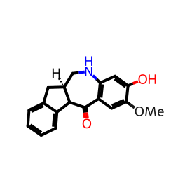 COc1cc2c(cc1O)NC[C@@H]1Cc3ccccc3C1C2=O